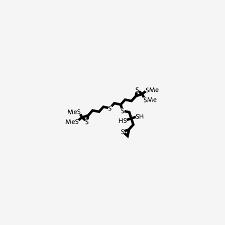 CSC1(SC)SC1CCCSCC(CCC1SC1(SC)SC)SCC(S)(S)CC1CS1